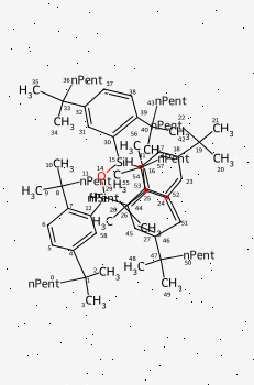 CCCCCC(C)(C)c1ccc(C(C)(C)CCCCC)c([SiH](O[SiH](c2cc(C(C)(C)CCCCC)ccc2C(C)(C)CCCCC)c2cc(C(C)(C)CCCCC)ccc2C(C)(C)CCCCC)c2cc(C(C)(C)CCCCC)ccc2C(C)(C)CCCCC)c1